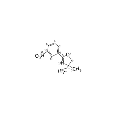 CC1(C)COC(c2cccc([N+](=O)[O-])c2)=N1